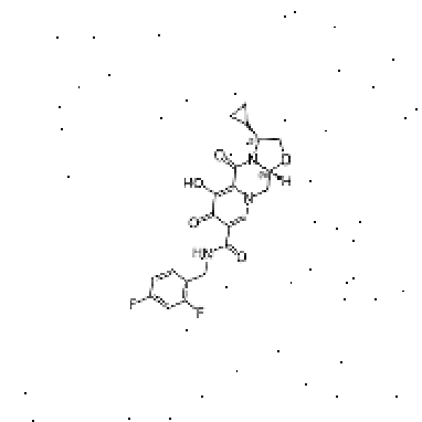 O=C(NCc1ccc(F)cc1F)c1cn2c(c(O)c1=O)C(=O)N1[C@@H](C3CC3)CO[C@@H]1C2